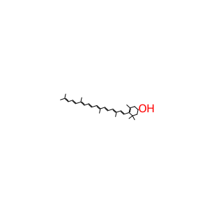 CC(C)=C/C=C/C(C)=C/C=C/C=C(C)/C=C/C=C(C)/C=C/C1=C(C)C[C@@H](O)CC1(C)C